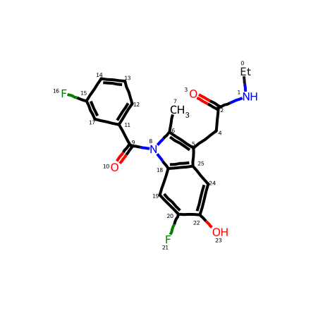 CCNC(=O)Cc1c(C)n(C(=O)c2cccc(F)c2)c2cc(F)c(O)cc12